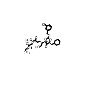 CCNC(=O)CN(C)C(=O)CC[C@@H](CO)NC(=O)[C@H](CC1CCCCC1)OC(=O)OCc1cccc(Cl)c1